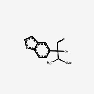 CNC(C)C(O)(CF)c1ccc2sccc2c1